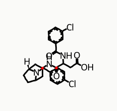 O=C(O)CC(NC(=O)c1cccc(Cl)c1)C(=O)NC1CC2CC[C@H](C1)N2Cc1ccc(Cl)cc1